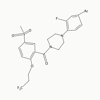 CC(=O)c1ccc(N2CCN(C(=O)c3cc(S(C)(=O)=O)ccc3OCCC(F)(F)F)CC2)c(F)c1